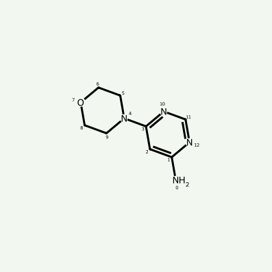 Nc1cc(N2CCOCC2)ncn1